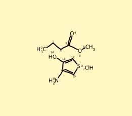 CCCC(=O)OC.Cl.Nc1cscc1O